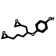 Oc1ccc(OC(CCCC2CO2)CC2CO2)cc1